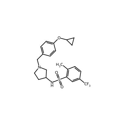 Cc1ccc(C(F)(F)F)cc1S(=O)(=O)NC1CCN(Cc2ccc(OC3CC3)cc2)C1